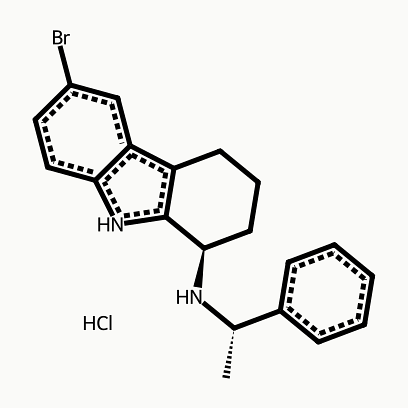 C[C@H](N[C@@H]1CCCc2c1[nH]c1ccc(Br)cc21)c1ccccc1.Cl